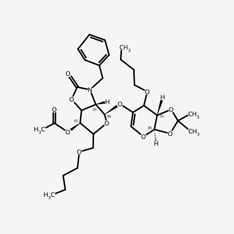 CCCCOCC1O[C@H](OC2=CO[C@@H]3OC(C)(C)O[C@H]3C2OCCCC)[C@@H]2C(OC(=O)N2Cc2ccccc2)[C@@H]1OC(C)=O